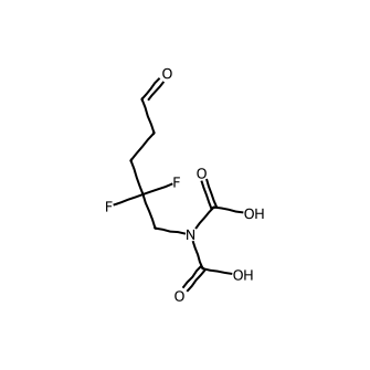 O=CCCC(F)(F)CN(C(=O)O)C(=O)O